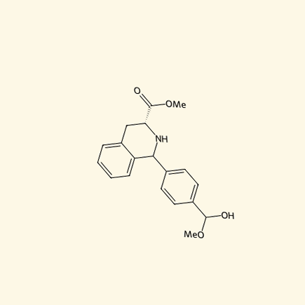 COC(=O)[C@H]1Cc2ccccc2C(c2ccc(C(O)OC)cc2)N1